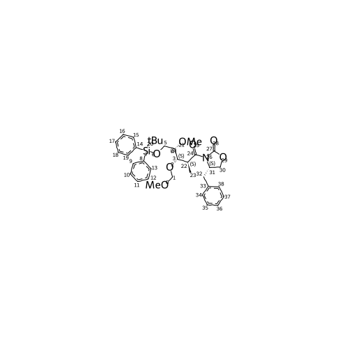 COCO[C@H]([C@H](CO[Si](c1ccccc1)(c1ccccc1)C(C)(C)C)OC)[C@H](C)C(=O)N1C(=O)OC[C@@H]1Cc1ccccc1